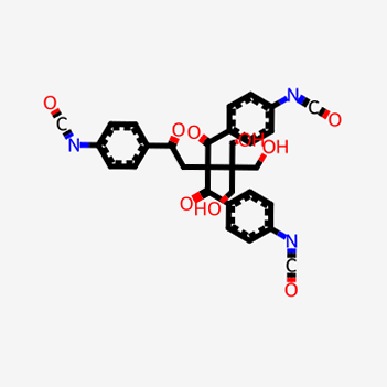 O=C=Nc1ccc(C(=O)CC(C(=O)c2ccc(N=C=O)cc2)(C(=O)c2ccc(N=C=O)cc2)C(CO)(CO)CO)cc1